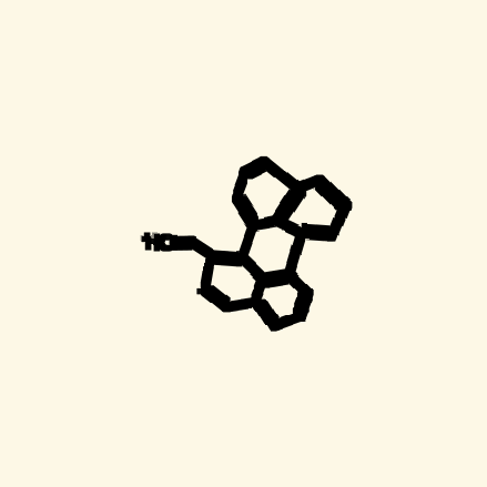 [CH]=Cc1[c]cc2cccc3c4cccc5cccc(c1c23)c54